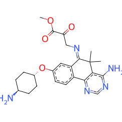 COC(=O)C(=O)C/N=C1\c2cc(O[C@H]3CC[C@H](N)CC3)ccc2-c2ncnc(N)c2C1(C)C